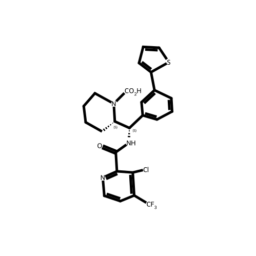 O=C(N[C@@H](c1cccc(-c2cccs2)c1)[C@@H]1CCCCN1C(=O)O)c1nccc(C(F)(F)F)c1Cl